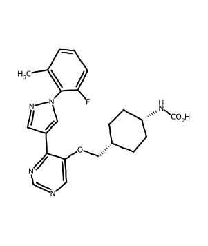 Cc1cccc(F)c1-n1cc(-c2ncncc2OC[C@H]2CC[C@@H](NC(=O)O)CC2)cn1